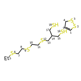 C1=CSSC1.CCSCCSCCSCC(CS)CS